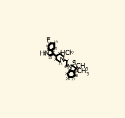 CC1(C)C(=S)N(CCN2CCC(c3c[nH]c4cc(F)ccc34)CC2)c2ccccc21.Cl